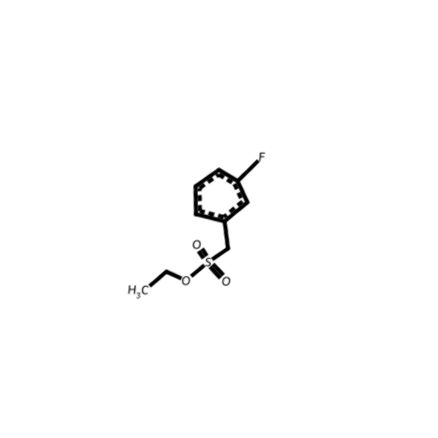 CCOS(=O)(=O)Cc1cccc(F)c1